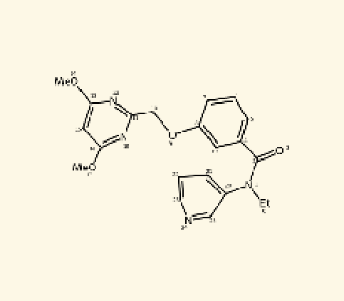 CCN(C(=O)c1cccc(OCc2nc(OC)cc(OC)n2)c1)c1cccnc1